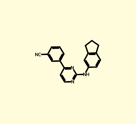 N#Cc1cccc(-c2ccnc(Nc3ccc4c(c3)CCC4)n2)c1